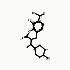 CCC1CCC(C(C)C2Cc3ccc(C(C)O)c(F)c3OC2=O)CC1